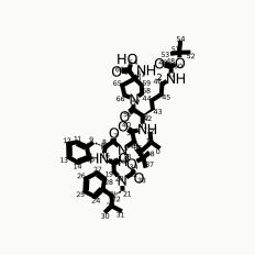 CC(C)C[C@@H](NC(=O)[C@@H](Cc1ccccc1)NC(=O)CN(C[C@@H](c1ccccc1)C(C)C)C(=O)OC(C)(C)C)C(=O)N[C@H](CCCCNC(=O)OC(C)(C)C)C(=O)N1CCC(N)(C(=O)O)CC1